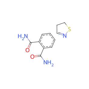 C1=NSCC1.NC(=O)c1ccccc1C(N)=O